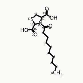 CCCCCCCCCC(=O)N1C(C(=O)O)CSC1C(=O)O